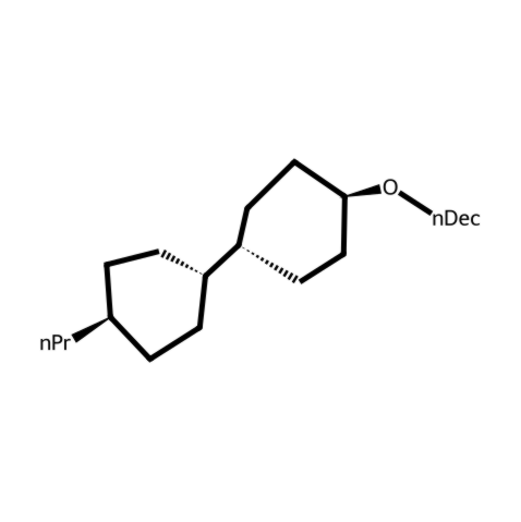 CCCCCCCCCCO[C@H]1CC[C@H]([C@H]2CC[C@H](CCC)CC2)CC1